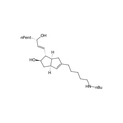 CCCCC[C@H](O)/C=C/[C@@H]1[C@H]2CC(CCCCCNCCCC)=C[C@H]2C[C@H]1O